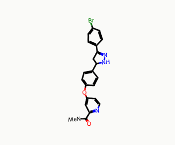 CNC(=O)c1cc(Oc2ccc(C3CC(c4ccc(Br)cc4)=NN3)cc2)ccn1